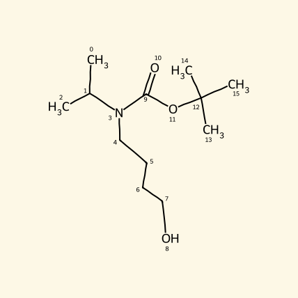 CC(C)N(CCCCO)C(=O)OC(C)(C)C